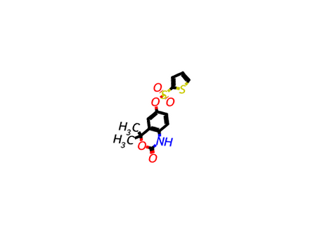 CC1(C)OC(=O)Nc2ccc(OS(=O)(=O)c3cccs3)cc21